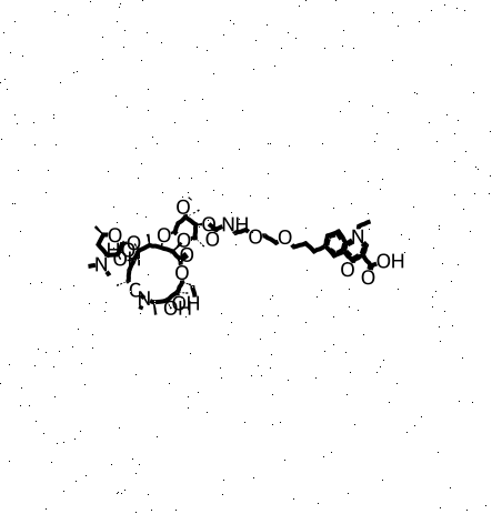 CC[C@H]1OC(=O)[C@H](C)[C@@H](O[C@H]2C[C@@](C)(OC)[C@@H](OC(=O)NCCOCCOCCCc3ccc4c(c3)c(=O)c(C(=O)O)cn4CC)[C@H](C)O2)[C@H](C)[C@@H](O[C@@H]2O[C@H](C)CC(N(C)C)[C@H]2O)[C@](C)(O)C[C@@H](C)CN(C)[C@H](C)[C@@H](O)[C@]1(C)O